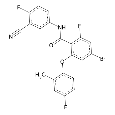 Cc1cc(F)ccc1Oc1cc(Br)cc(F)c1C(=O)Nc1ccc(F)c(C#N)c1